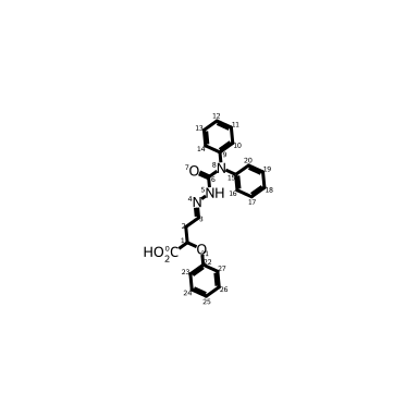 O=C(O)C(CC=NNC(=O)N(c1ccccc1)c1ccccc1)Oc1ccccc1